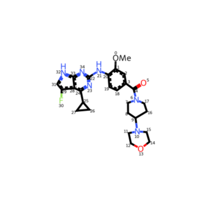 COc1cc(C(=O)N2CCC(N3CCOCC3)CC2)ccc1Nc1nc(C2CC2)c2c(F)c[nH]c2n1